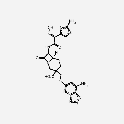 Nc1nc(C(=NO)C(=O)NC2C(=O)N3CC(CSc4cc(N)c5nnnn5n4)(C(=O)O)CS[C@H]23)cs1